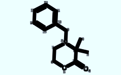 CC1(C)C(=O)OCCN1Cc1ccccc1